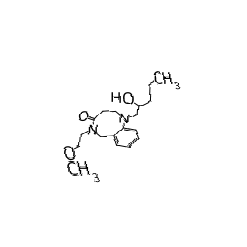 CCCC(O)CN1CCC(=O)N(CCOC)Cc2ccccc21